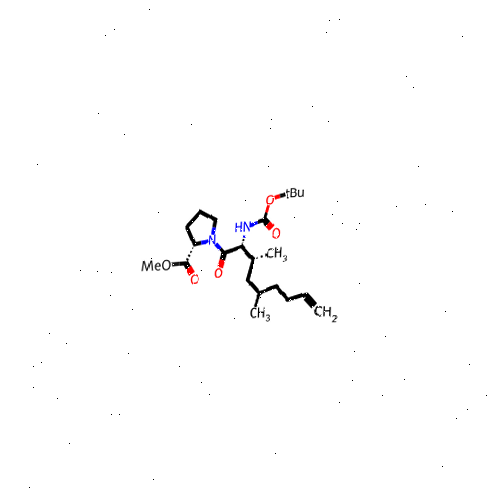 C=CCCC(C)C[C@@H](C)[C@@H](NC(=O)OC(C)(C)C)C(=O)N1CCC[C@H]1C(=O)OC